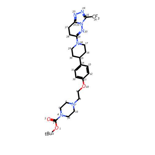 CC(C)(C)OC(=O)N1CCN(CCOc2ccc(C3CCN(C4=Nn5c(nnc5C(F)(F)F)CC4)CC3)cc2)CC1